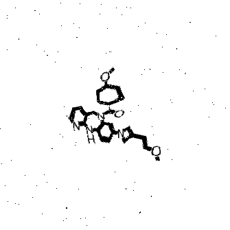 COCCC1CN(c2ccc3c(c2)N(C(=O)[C@H]2CC[C@H](OC)CC2)Cc2cccnc2N3)C1